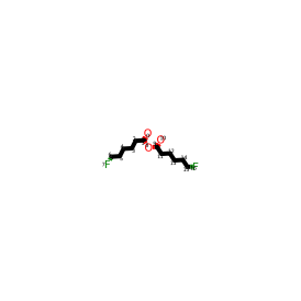 O=C(CCCCCF)OC(=O)CCCCCF